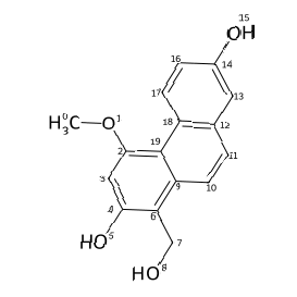 COc1cc(O)c(CO)c2ccc3cc(O)ccc3c12